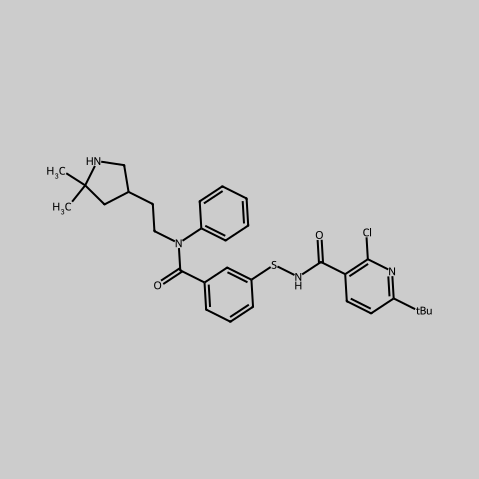 CC1(C)CC(CCN(C(=O)c2cccc(SNC(=O)c3ccc(C(C)(C)C)nc3Cl)c2)c2ccccc2)CN1